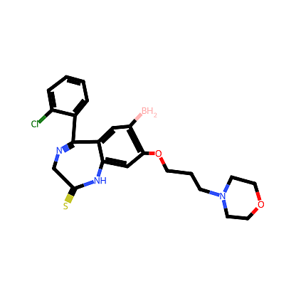 Bc1cc2c(cc1OCCCN1CCOCC1)NC(=S)CN=C2c1ccccc1Cl